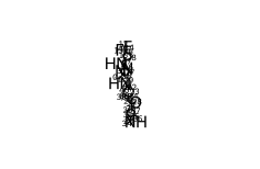 CCc1nc(Nc2cccc(C(C)(F)F)c2)ncc1CN[C@H]1CCC=C(CC(=O)c2ccc(NC)c(C)c2)[C@H](C)C1